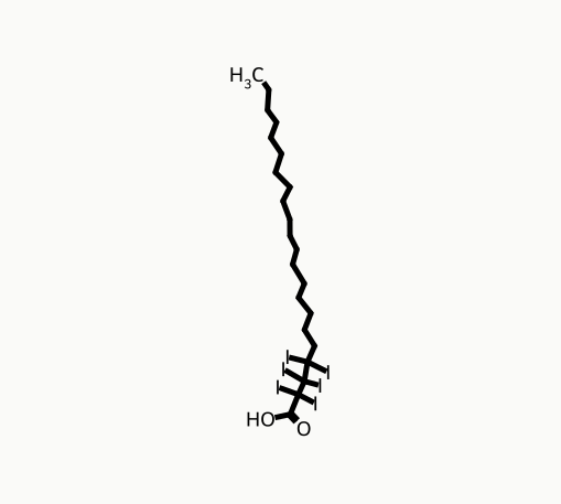 CCCCCCCCCCCCCCCCCCC(I)(I)C(I)(I)C(I)(I)C(=O)O